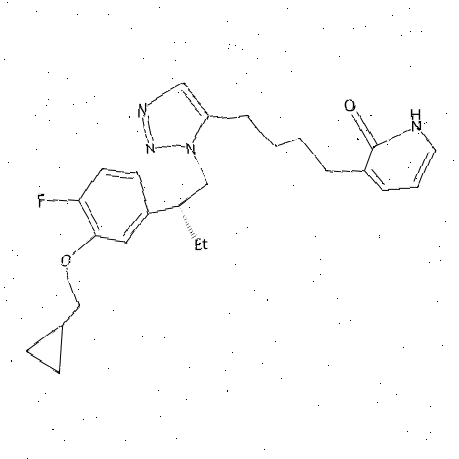 CC[C@@H](Cn1nncc1CCCCc1ccc[nH]c1=O)c1ccc(F)c(OCC2CC2)c1